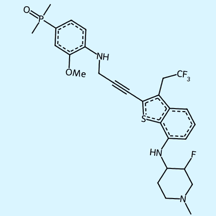 COc1cc(P(C)(C)=O)ccc1NCC#Cc1sc2c(NC3CCN(C)CC3F)cccc2c1CC(F)(F)F